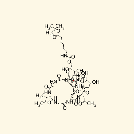 CC[C@H](C)[C@@H]1NC(=O)CNC(=O)C2Cc3c([nH]c4cc(O)ccc34)[S@+]([O-])CC(NC(=O)CNC1=O)C(=O)N[C@@H](CC(C)=O)C(=O)N1CC(O)C[C@H]1C(=O)N[C@@H]([C@@H](C)[C@@H](O)COC(=O)NCCCCCC(=O)OC(C)(C)C)C(=O)N2